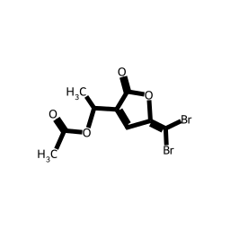 CC(=O)OC(C)C1=CC(=C(Br)Br)OC1=O